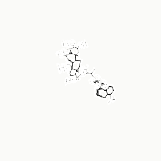 CC(CC[C@@H](O)C(C)(O)C1CC[C@@]2(O)C3=CC(=O)[C@@H]4C[C@@H](O)[C@@H](O)CC4(C)C3CCC12C)COS(=O)(=O)c1cccc2c(N(C)C)cccc12